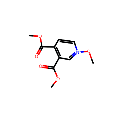 COC(=O)c1cc[n+](OC)cc1C(=O)OC